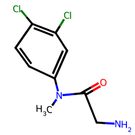 CN(C(=O)CN)c1ccc(Cl)c(Cl)c1